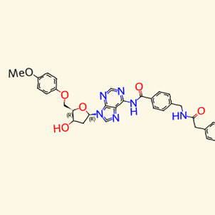 COc1ccc(OC[C@H]2O[C@@H](n3cnc4c(NC(=O)c5ccc(CNC(=O)Cc6ccccc6)cc5)ncnc43)CC2O)cc1